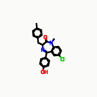 Cc1ccc(CC2N=C(c3ccc(O)cc3)c3cc(Cl)ccc3N(C)C2=O)cc1